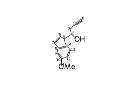 C#CCC(O)C1C=Cc2cc(OC)ccc21